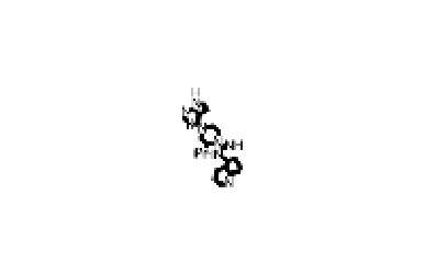 CC(C)C1CN(c2ncnc3[nH]ccc23)CCN1C(=N)Nc1cccc2ncccc12